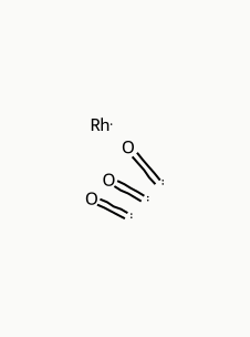 [C]=O.[C]=O.[C]=O.[Rh]